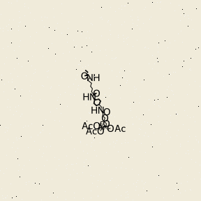 C=CC(=O)NCCCCCC(=O)Nc1ccc(CNC(=O)COC2C[C@@H](OC(C)=O)[C@H](OC(C)=O)[C@@H](COC(C)=O)O2)cc1